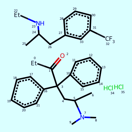 CCC(=O)C(CC(C)N(C)C)(c1ccccc1)c1ccccc1.CCNC(C)Cc1cccc(C(F)(F)F)c1.Cl.Cl